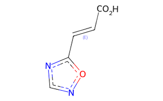 O=C(O)/C=C/c1ncno1